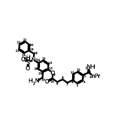 CCCC(=N)c1ccc(CCCC(=O)Oc2ccc(N(Cc3ccccc3)[SH](=O)=O)cc2CN)cc1